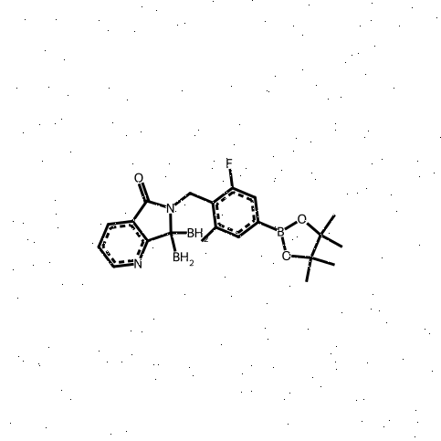 BC1(B)c2ncccc2C(=O)N1Cc1c(C)cc(B2OC(C)(C)C(C)(C)O2)cc1F